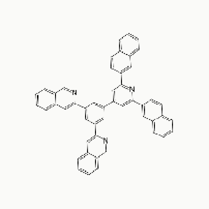 c1ccc2cc(-c3cc(-c4cc(-c5cc6ccccc6cn5)cc(-c5cc6ccccc6cn5)c4)cc(-c4ccc5ccccc5c4)n3)ccc2c1